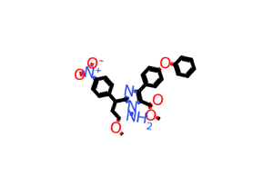 COCCC(c1ccc([N+](=O)[O-])cc1)c1nc(-c2ccc(Oc3ccccc3)cc2)c(C(=O)OC)n1N